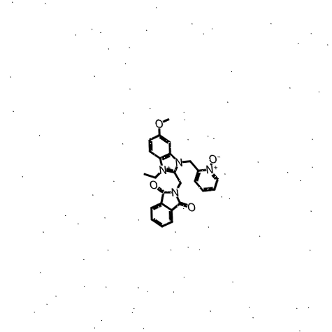 CC[n+]1c(CN2C(=O)c3ccccc3C2=O)n(Cc2cccc[n+]2[O-])c2cc(OC)ccc21